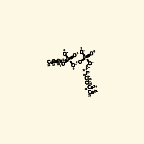 O=P([O-])([O-])[O-].O=P([O-])([O-])[O-].[Ca+2].[Ca+2].[Ca+2].[Ca+2].[Ca+2].[Cl-].[Cl-].[F-].[F-]